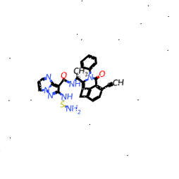 C#Cc1ccc2c3c(c([C@@H](C)NC(=O)c4c(NSN)nn5cccnc45)n(-c4ccccc4)c(=O)c13)C2